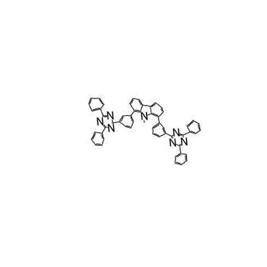 Cn1c2c(-c3cccc(-c4nc(-c5ccccc5)nc(-c5ccccc5)n4)c3)cccc2c2cccc(-c3cccc(-c4nc(-c5ccccc5)nc(-c5ccccc5)n4)c3)c21